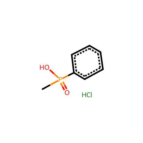 CP(=O)(O)c1ccccc1.Cl